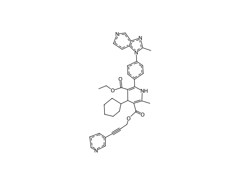 CCOC(=O)C1=C(c2ccc(-n3c(C)nc4cnccc43)cc2)NC(C)=C(C(=O)OCC#Cc2cccnc2)C1C1CCCCC1